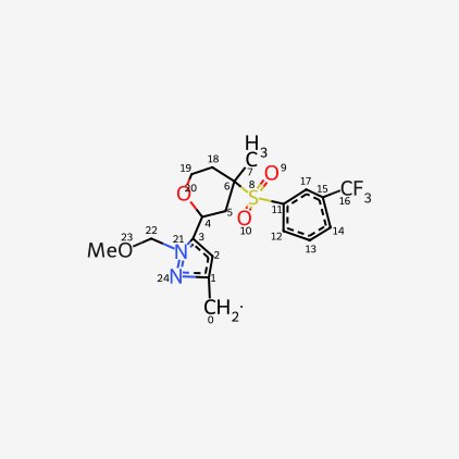 [CH2]c1cc(C2CC(C)(S(=O)(=O)c3cccc(C(F)(F)F)c3)CCO2)n(COC)n1